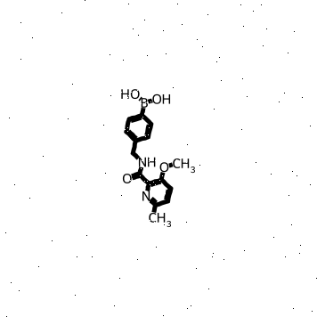 COc1ccc(C)nc1C(=O)NCc1ccc(B(O)O)cc1